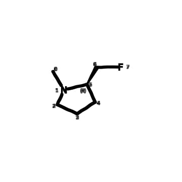 CN1CCC[C@@H]1CF